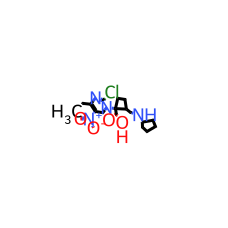 CCC1=C([N+](=O)[O-])CN(C2(C(=O)O)CCC2CNC2CCCC2)C(Cl)=N1